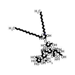 CCCCCCCCCCCCC/C=C/[C@@H](O)[C@H](CO[C@@H]1OC(CO)[C@@H](O[C@@H]2OC(CO)[C@H](O[C@@H]3OC(CO)[C@H](O)[C@H](O[C@@H]4OC(CO)[C@H](O)[C@H](O)C4O)C3NC(C)=O)[C@H](O[C@]3(C(=O)O)CC(O)[C@@H](O)C([C@H](O)[C@H](O)CO)O3)C2O)[C@H](O)C1O)NC(=O)CCCCCCCCCCCCCCCCC